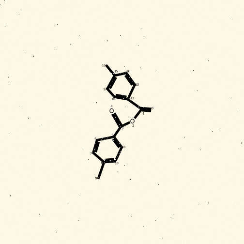 C=C(OC(=O)c1ccc(C)cc1)c1ccc(C)cc1